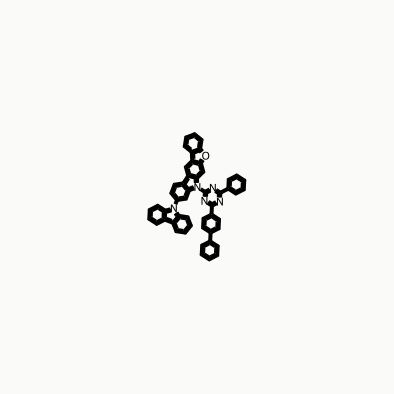 c1ccc(-c2ccc(-c3nc(-c4ccccc4)nc(-n4c5cc(-n6c7ccccc7c7ccccc76)ccc5c5cc6c(cc54)oc4ccccc46)n3)cc2)cc1